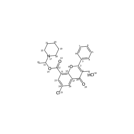 Cc1c(-c2ccccc2)oc2c(C(=O)OC(C)N3CCCCC3)cc(Cl)cc2c1=O.Cl